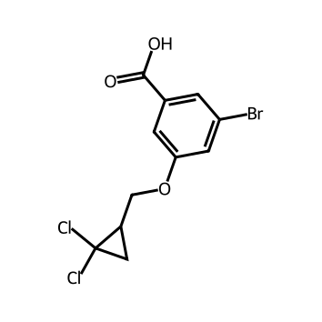 O=C(O)c1cc(Br)cc(OCC2CC2(Cl)Cl)c1